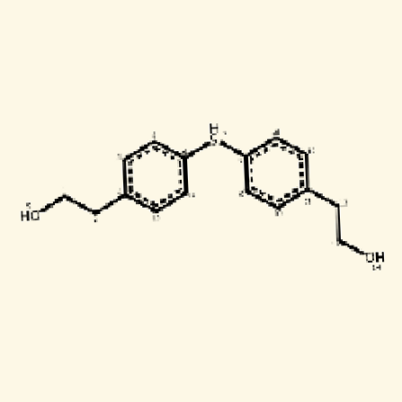 OCCc1ccc([SiH]c2ccc(CCO)cc2)cc1